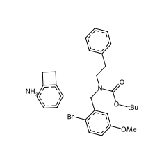 COc1ccc(Br)c(CN(CCc2ccccc2)C(=O)OC(C)(C)C)c1.N.c1ccc2c(c1)CC2